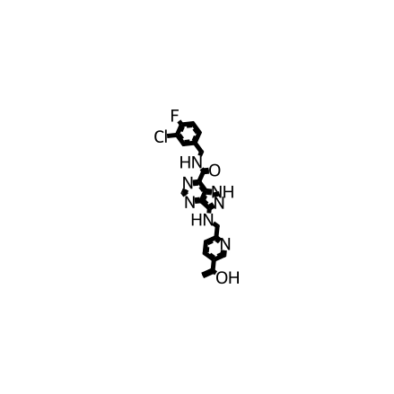 C=C(O)c1ccc(CNc2n[nH]c3c(C(=O)NCc4ccc(F)c(Cl)c4)ncnc23)nc1